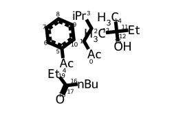 CC(=O)CCC(C)C.CC(=O)c1ccccc1.CCC(C)(C)O.CCCCC(=O)CC